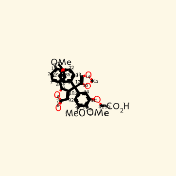 COc1ccc(C2OC(=O)C=C2C(C2=COCO2)(c2ccc(C)cc2)c2cc(OC)c(OC)c(OCC(=O)O)c2)cc1